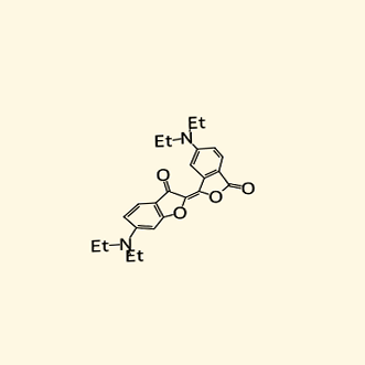 CCN(CC)c1ccc2c(c1)OC(=C1OC(=O)c3ccc(N(CC)CC)cc31)C2=O